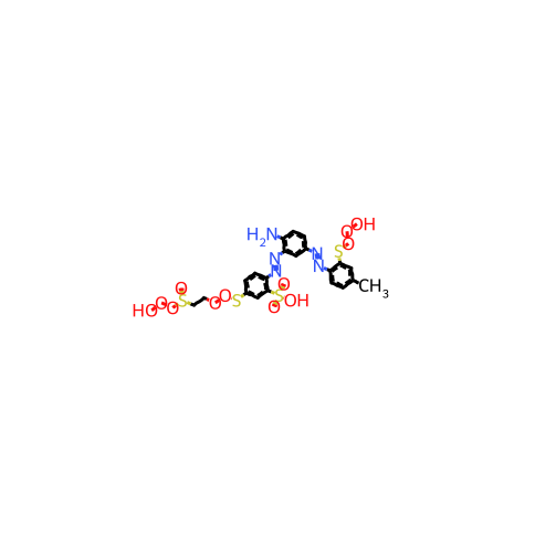 Cc1ccc(N=Nc2ccc(N)c(N=Nc3ccc(SOOCCS(=O)OOO)cc3S(=O)(=O)O)c2)c(SOOO)c1